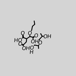 CC(O)COC(C)CO.CCCCOC(C(=O)O)C(CC(=O)O)C(=O)O